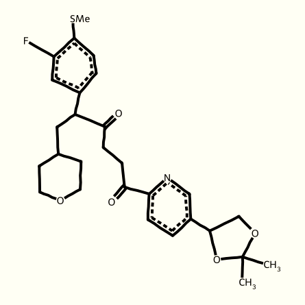 CSc1ccc(C(CC2CCOCC2)C(=O)CCC(=O)c2ccc(C3COC(C)(C)O3)cn2)cc1F